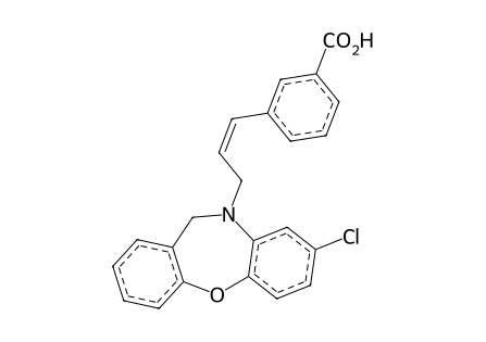 O=C(O)c1cccc(/C=C\CN2Cc3ccccc3Oc3ccc(Cl)cc32)c1